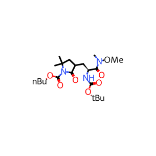 CCCCOC(=O)N1C(=O)C(C[C@H](NC(=O)OC(C)(C)C)C(=O)N(C)OC)CC1(C)C